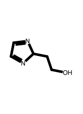 OCCC1N=CC=N1